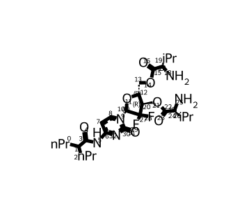 CCCC(CCC)C(=O)Nc1ccn([C@@H]2O[C@H](COC(=O)[C@@H](N)C(C)C)[C@@H](OC(=O)[C@@H](N)C(C)C)C2(F)F)c(=O)n1